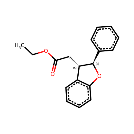 CCOC(=O)C[C@H]1c2ccccc2O[C@@H]1c1ccccc1